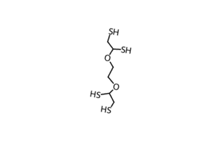 SCC(S)OCCOC(S)CS